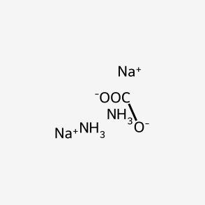 N.N.O=C([O-])[O-].[Na+].[Na+]